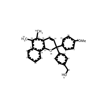 COc1ccc(C2(c3ccc(CO)cc3)C=Cc3c(C)c(C)c4ccccc4c3O2)cc1